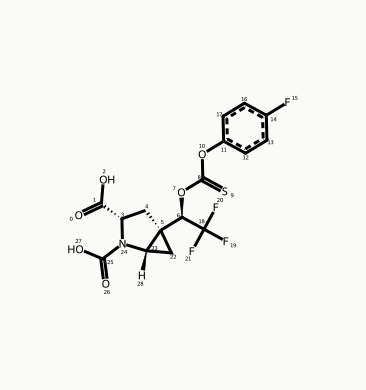 O=C(O)[C@@H]1C[C@]2([C@@H](OC(=S)Oc3ccc(F)cc3)C(F)(F)F)C[C@@H]2N1C(=O)O